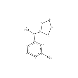 OC(c1cccc(C(F)(F)F)c1)C1C[CH]CC1